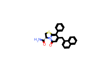 NC(=O)[C@@H]1CSc2c(-c3ccccc3)c(Cc3cccc4ccccc34)cc(=O)n21